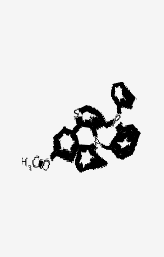 COc1ccc(-c2scc(P(c3ccccc3)c3ccccc3)c2P(c2ccccc2)c2ccccc2)cc1